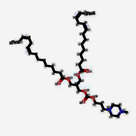 CCCCC/C=C\C/C=C\CCCCCCCC(=O)OCC(COC(=O)CCCCCCC/C=C\C/C=C\CCCCC)COC(=O)OCCCN1CCN(C)CC1